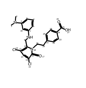 CN(C)c1cccc(NCc2c(Cl)cc(Cl)c(=O)n2CCc2ccc(C(=O)O)cc2)c1